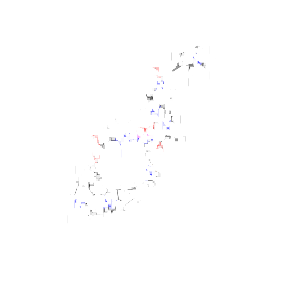 CCn1c(-c2cccnc2[C@H](C)OC)c2c3cc(ccc31)-c1csc(n1)CC(NC(=O)[C@H](C(C)C)N(C)C(=O)N1C[C@H]3CN(C(=O)C#CC(C)(C)N(C)C)CC[C@H]31)C(=O)N1CCC[C@H](N1)C(=O)OCC(C)(C)C2